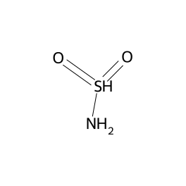 N[SH](=O)=O